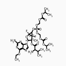 CCOc1nc(N)nc2c1ncn2[C@@H]1O[C@]2(F)C(OP(=O)(OCOC(=O)OC(C)C)OCOC(=O)OC(C)C)[C@]2(F)[C@@]1(C)OC(=O)C(N)C(C)C